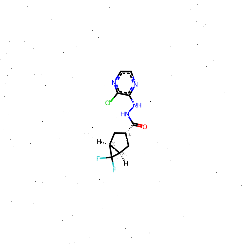 O=C(NNc1nccnc1Cl)[C@@H]1C[C@@H]2[C@H](C1)C2(F)F